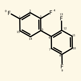 Fc1[c]c(F)c(-c2cc(F)ccc2F)cc1